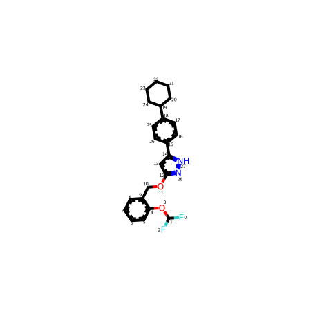 FC(F)Oc1ccccc1COc1cc(-c2ccc(C3CC[CH]CC3)cc2)[nH]n1